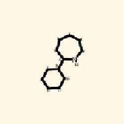 C1CCC(C2CCCCC[N]2)CC1